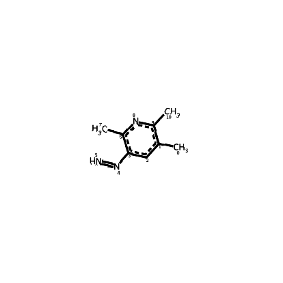 Cc1cc(N=N)c(C)nc1C